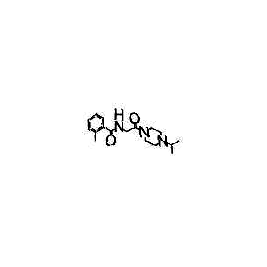 Cc1ccccc1C(=O)NCC(=O)N1CCN(C(C)C)CC1